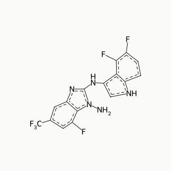 Nn1c(Nc2c[nH]c3ccc(F)c(F)c23)nc2cc(C(F)(F)F)cc(F)c21